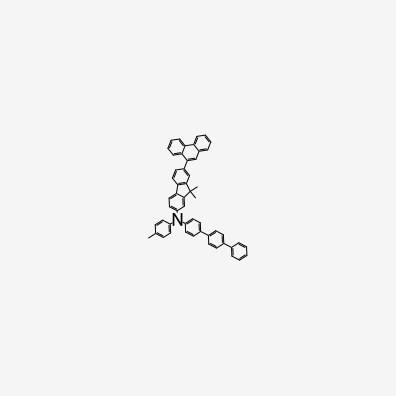 Cc1ccc(N(c2ccc(-c3ccc(-c4ccccc4)cc3)cc2)c2ccc3c(c2)C(C)(C)c2cc(-c4cc5ccccc5c5ccccc45)ccc2-3)cc1